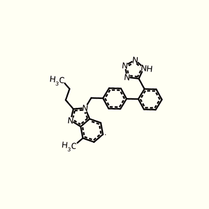 CCCc1nc2c(C)c[c]cc2n1Cc1ccc(-c2ccccc2-c2nnn[nH]2)cc1